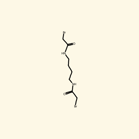 O=C(CBr)NCCCCNC(=O)CBr